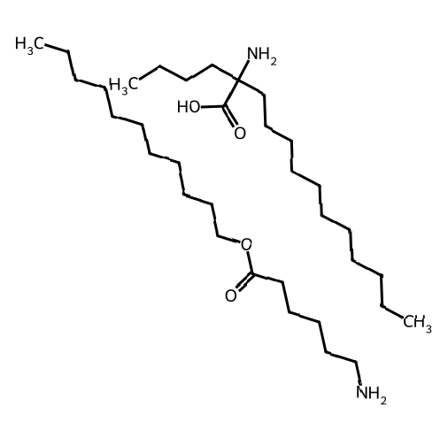 CCCCCCCCCCCC(N)(CCCC)C(=O)O.CCCCCCCCCCCOC(=O)CCCCCN